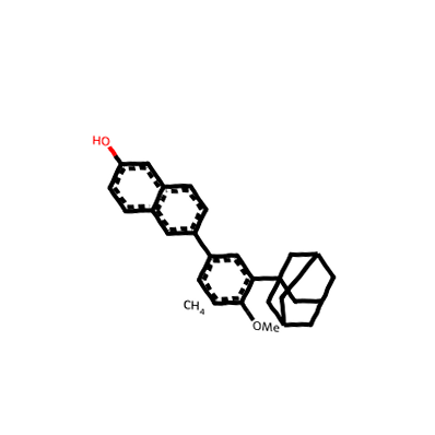 C.COc1ccc(-c2ccc3cc(O)ccc3c2)cc1C12CC3CC(CC(C3)C1)C2